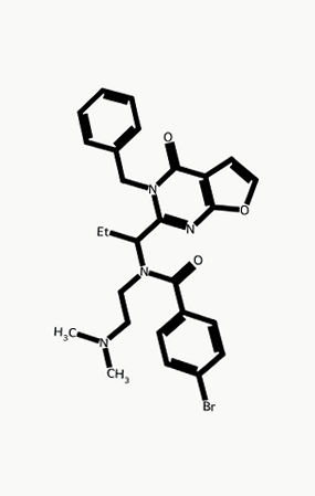 CCC(c1nc2occc2c(=O)n1Cc1ccccc1)N(CCN(C)C)C(=O)c1ccc(Br)cc1